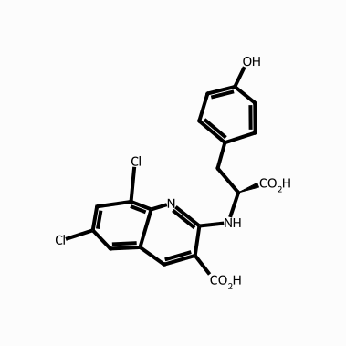 O=C(O)c1cc2cc(Cl)cc(Cl)c2nc1N[C@@H](Cc1ccc(O)cc1)C(=O)O